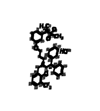 CN(c1cccc(OCCCN(Cc2cccc(C(F)(F)F)c2Cl)CC(c2ccccc2)c2ccccc2)c1)S(C)(=O)=O.Cl